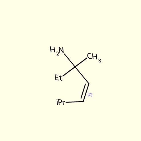 CCC(C)(N)/C=C\C(C)C